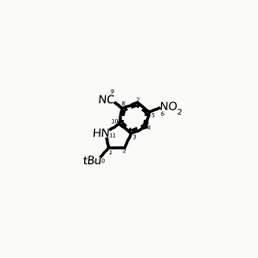 CC(C)(C)C1Cc2cc([N+](=O)[O-])cc(C#N)c2N1